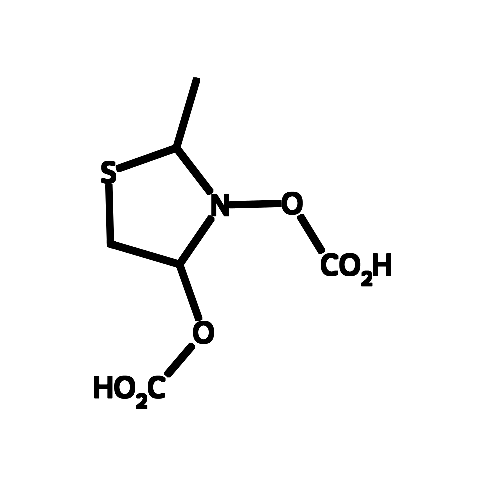 CC1SCC(OC(=O)O)N1OC(=O)O